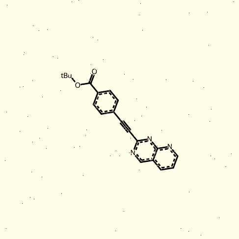 CC(C)(C)OC(=O)c1ccc(C#Cc2ncc3cccnc3n2)cc1